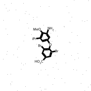 COc1c(N)cc(Oc2c(Br)cc(C(=O)O)cc2Br)cc1C(C)C